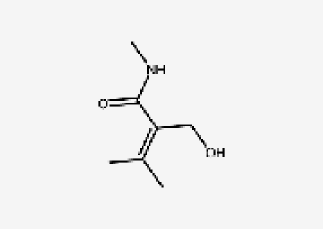 CNC(=O)C(CO)=C(C)C